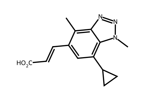 Cc1c(/C=C/C(=O)O)cc(C2CC2)c2c1nnn2C